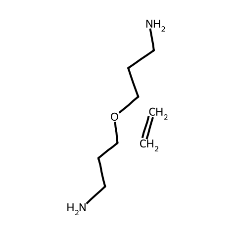 C=C.NCCCOCCCN